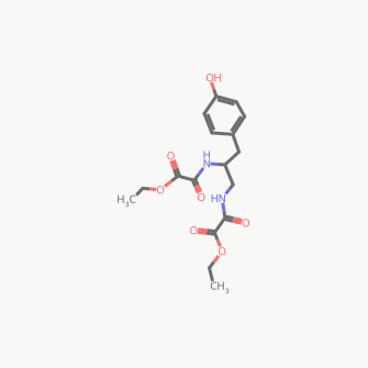 CCOC(=O)C(=O)NCC(Cc1ccc(O)cc1)NC(=O)C(=O)OCC